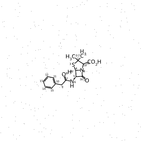 CC1(C)S[C@@H]2[C@H](NC(=O)Cc3ccccc3)C(=O)N2C1C(=O)O